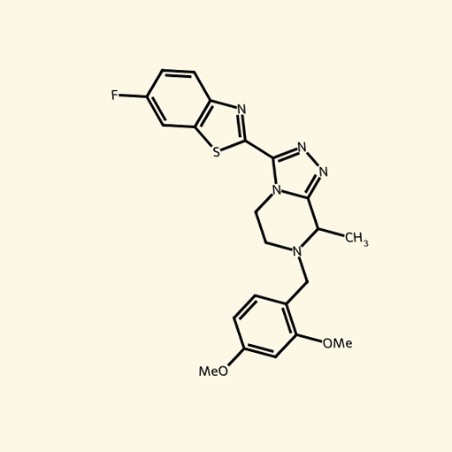 COc1ccc(CN2CCn3c(-c4nc5ccc(F)cc5s4)nnc3C2C)c(OC)c1